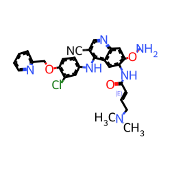 CN(C)C/C=C/C(=O)Nc1cc2c(Nc3ccc(OCc4ccccn4)c(Cl)c3)c(C#N)cnc2cc1ON